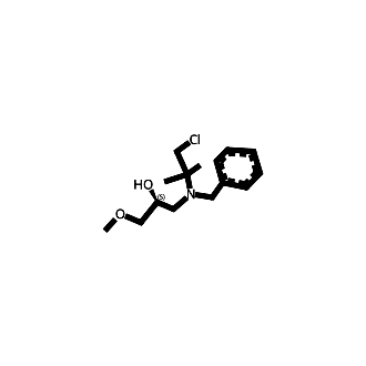 COC[C@@H](O)CN(Cc1ccccc1)C(C)(C)CCl